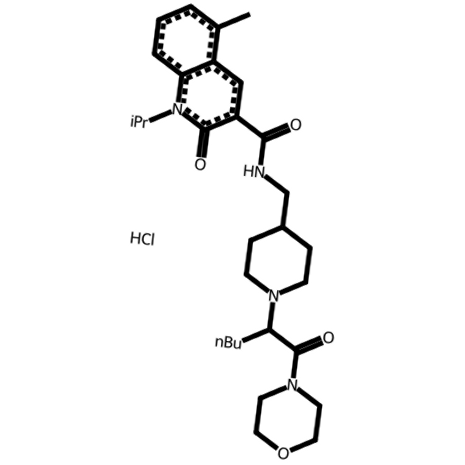 CCCCC(C(=O)N1CCOCC1)N1CCC(CNC(=O)c2cc3c(C)cccc3n(C(C)C)c2=O)CC1.Cl